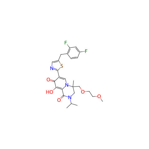 COCCOCC1(C)CN(C(C)C)C(=O)c2c(O)c(=O)c(-c3ncc(Cc4ccc(F)cc4F)s3)cn21